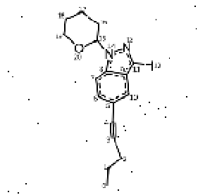 CCCC#Cc1ccc2c(c1)c(I)nn2C1CCCCO1